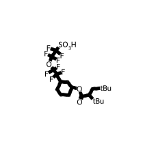 CC(C)(C)CC(C(=O)OC1CCCC(C(F)(F)C(F)(F)OC(F)(F)C(F)(F)S(=O)(=O)O)C1)C(C)(C)C